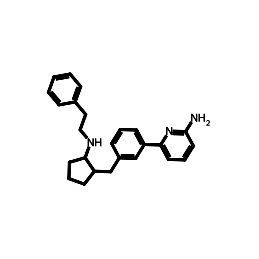 Nc1cccc(-c2cccc(CC3CCCC3NCCc3ccccc3)c2)n1